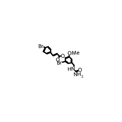 COc1cc(CNC(N)=O)cc(Br)c1OC(=O)/C=C/c1ccc(Br)cc1